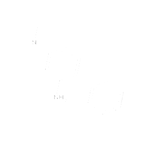 CN(C)c1ccc(-c2ccccc2)c(N)c1